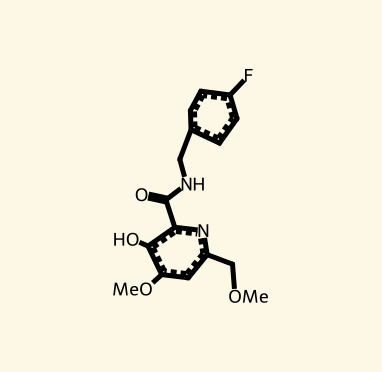 COCc1cc(OC)c(O)c(C(=O)NCc2ccc(F)cc2)n1